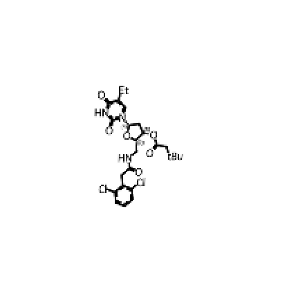 CCc1cn([C@H]2C[C@H](OC(=O)CC(C)(C)C)[C@@H](CNC(=O)Cc3c(Cl)cccc3Cl)O2)c(=O)[nH]c1=O